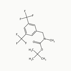 CN(Cc1cc(C(F)(F)F)cc(C(F)(F)F)c1)C(=O)OC(C)(C)C